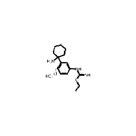 CCSC(=N)Nc1cccc(C2(N)CCCCC2)c1.Cl.Cl